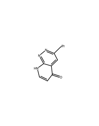 CC(C)c1cc2c(=O)cc[nH]c2nn1